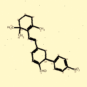 CC1=C(/C=C/C2=CC=C(C=O)C(c3ccc([N+](=O)[O-])cc3)C2)C(C)(C)CCC1